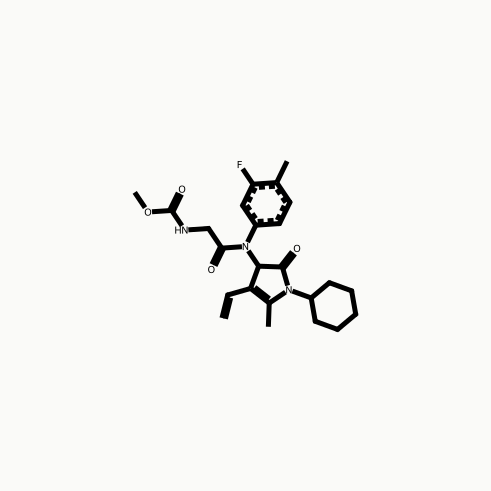 C=CC1=C(C)N(C2CCCCC2)C(=O)C1N(C(=O)CNC(=O)OC)c1ccc(C)c(F)c1